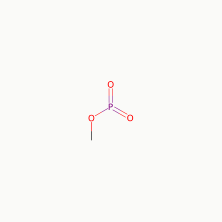 COP(=O)=O